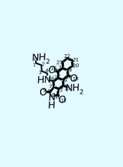 NCCCCNc1c2c(=O)[nH]c(=O)c2c(N)c2c(=O)c3ccccc3c(=O)c12